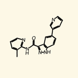 Cc1cccnc1NC(=O)c1n[nH]c2ccc(-c3cccnc3)cc12